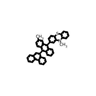 Cc1ccc2c(-c3cc4ccccc4c4ccccc34)c3ccccc3c(-c3ccc4c(c3)N(C)c3ccccc3S4)c2c1